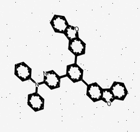 c1ccc(N(c2ccccc2)c2ccc(-c3cc(-c4ccc5oc6ccccc6c5c4)cc(-c4ccc5oc6ccccc6c5c4)c3)cn2)cc1